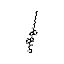 CCCCCCCCCNc1ncnc2c1ncn2-n1cnc2c(NCc3ccco3)ncnc21